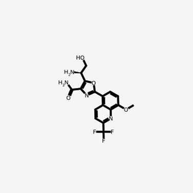 COc1ccc(-c2nc(C(N)=O)c([C@@H](N)CO)o2)c2ccc(C(F)(F)F)nc12